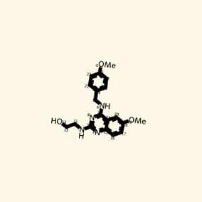 COc1ccc(CNc2nc(NCCO)nc3ccc(OC)cc23)cc1